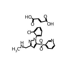 CNCc1cc(S(=O)(=O)c2cccnc2)n(-c2ccccc2Cl)n1.O=C(O)/C=C/C(=O)O